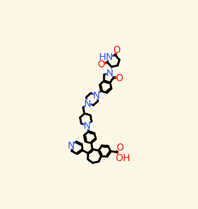 O=C1CC[C@H](N2Cc3cc(N4CCN(CC5CCN(c6ccc(C7=C(c8ccncc8)CCCc8cc(C(=O)O)ccc87)cc6)CC5)CC4)ccc3C2=O)C(=O)N1